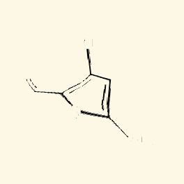 O=Cc1sc([AsH2])cc1Cl